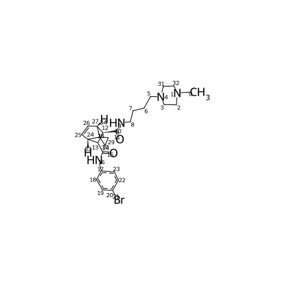 CN1CCN(CCCCNC(=O)[C@H]2C(C(=O)Nc3ccc(Br)cc3)[C@@H]3C=C[C@H]2C32CC2)CC1